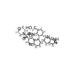 O=C(O)c1ccccc1Nc1c(S(=O)(=O)N2CCOCC2)cnc2ccc(-c3cnc4[nH]ncc4c3)cc12